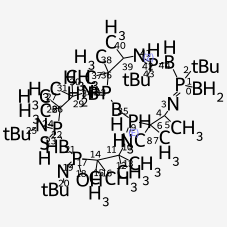 BP1(C(C)(C)C)=NC(C)C(C)(C)/[PH]2=N/C(C)(C)C(C)(C)P(O)(=NC(C)(C)C)BP(S)(=NC(C)(C)C)C(C)(C)C(C)(C)N=P(B)(B2)C(C)(C)C(C)/N=[PH](\C(C)(C)C)B1